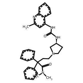 Cc1cc(NC(=O)N[C@H]2CCN(CCC(C(=O)N(C)C)(c3ccccc3)c3ccccc3)C2)c2ccccc2n1